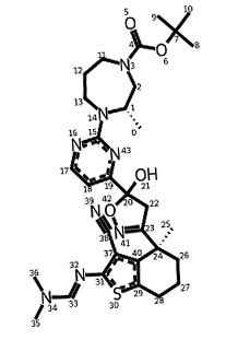 C[C@H]1CN(C(=O)OC(C)(C)C)CCCN1c1nccc(C2(O)CC([C@@]3(C)CCCc4sc(/N=C/N(C)C)c(C#N)c43)=NO2)n1